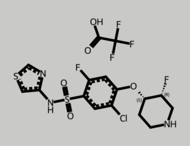 O=C(O)C(F)(F)F.O=S(=O)(Nc1cscn1)c1cc(Cl)c(O[C@H]2CCNC[C@H]2F)cc1F